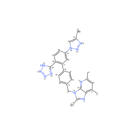 CCc1nc2c(C)cc(C)nc2n1Cc1ccc(-c2cc(-n3cc(C(C)C)nn3)ccc2-c2nnn[nH]2)cc1